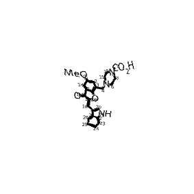 COc1cc(CN2CCN(C(=O)O)CC2)c2c(c1)C(=O)C(=Cc1c[nH]c3ccccc13)O2